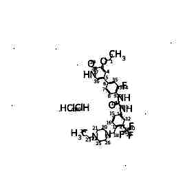 CCOc1cc(-c2ccc(NC(=O)Nc3ccc(CN4CCN(CC)CC4)c(C(F)(F)F)c3)c(F)c2)c[nH]c1=O.Cl.Cl